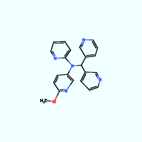 COc1ccc(N(c2ccccn2)C(c2cccnc2)c2cccnc2)cn1